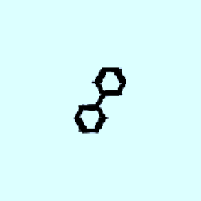 [c]1c[c]c(-c2[c]c[c]c[c]2)[c]c1